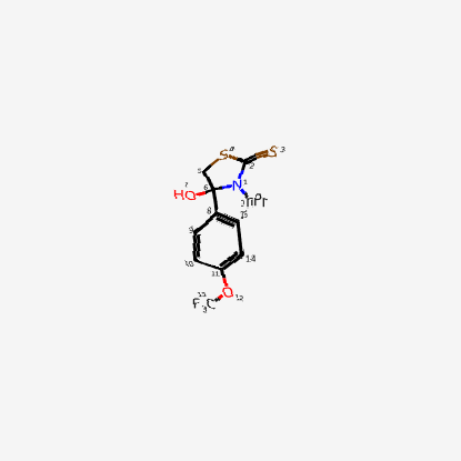 CCCN1C(=S)SCC1(O)c1ccc(OC(F)(F)F)cc1